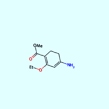 CCOC1=C(C(=O)OC)CCC(N)=C1